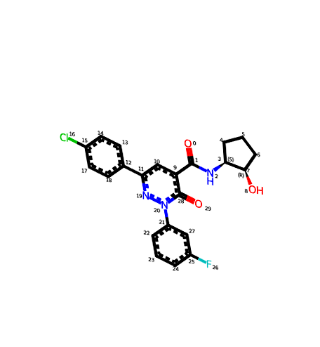 O=C(N[C@H]1CCC[C@H]1O)c1cc(-c2ccc(Cl)cc2)nn(-c2cccc(F)c2)c1=O